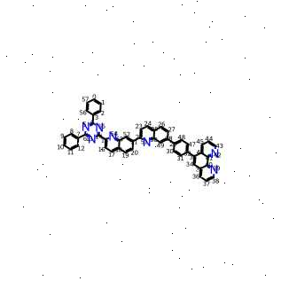 c1ccc(-c2nc(-c3ccccc3)nc(-c3ccc4ccc(-c5ccc6ccc(-c7ccc(-c8cc9cccnc9c9ncccc89)cc7)cc6n5)cc4n3)n2)cc1